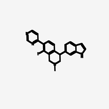 CN1Cc2c(ccc(-c3ccncn3)c2F)C(c2ccc3cc[nH]c3c2)C1